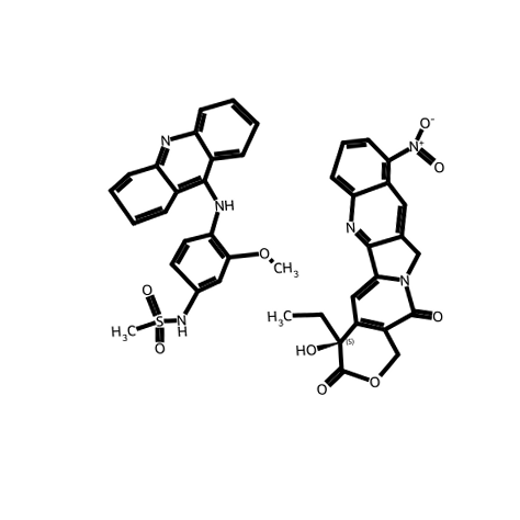 CC[C@@]1(O)C(=O)OCc2c1cc1n(c2=O)Cc2cc3c([N+](=O)[O-])cccc3nc2-1.COc1cc(NS(C)(=O)=O)ccc1Nc1c2ccccc2nc2ccccc12